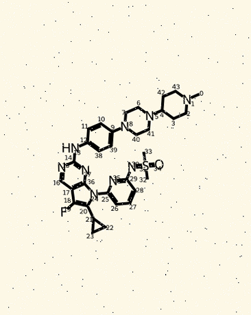 CN1CCC(N2CCN(c3ccc(Nc4ncc5c(F)c(C6CC6)n(-c6cccc(N=S(C)(C)=O)n6)c5n4)cc3)CC2)CC1